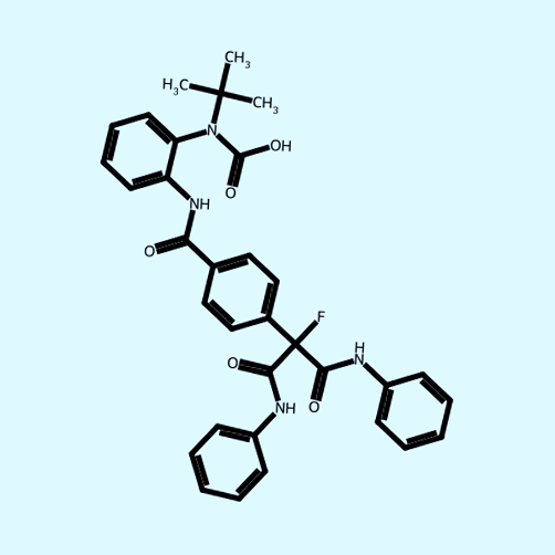 CC(C)(C)N(C(=O)O)c1ccccc1NC(=O)c1ccc(C(F)(C(=O)Nc2ccccc2)C(=O)Nc2ccccc2)cc1